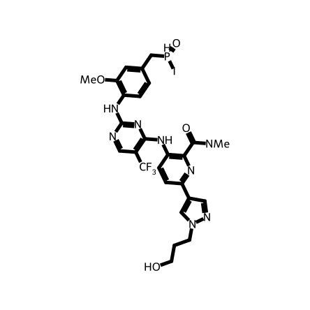 CNC(=O)c1nc(-c2cnn(CCCO)c2)ccc1Nc1nc(Nc2ccc(C[PH](=O)I)cc2OC)ncc1C(F)(F)F